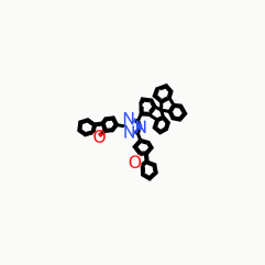 c1ccc2c(c1)-c1ccccc1C21c2ccccc2-c2c(-c3nc(-c4ccc5c(c4)oc4ccccc45)nc(-c4ccc5c(c4)oc4ccccc45)n3)cccc21